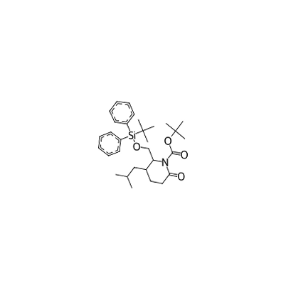 CC(C)CC1CCC(=O)N(C(=O)OC(C)(C)C)C1CO[Si](c1ccccc1)(c1ccccc1)C(C)(C)C